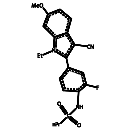 CCCS(=O)(=O)Nc1ccc(-c2c(C#N)c3ccc(OC)cc3n2CC)cc1F